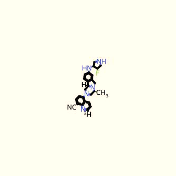 [2H]c1ccc2c(N3C[C@@H](C)N4Cc5cc(N[C@H]6CNC[C@H]6F)ccc5[C@H]4C3)ccc(C#N)c2n1